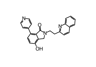 O=C1c2c(-c3ccncc3)ccc(O)c2CN1CCc1ccc2ccccc2n1